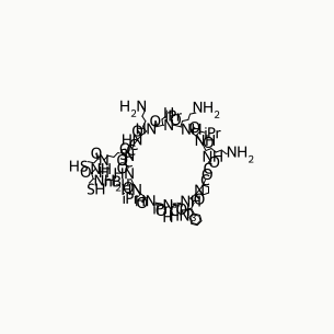 CCCCC1NC(=O)CN(S(=O)(=O)CCCNC(=O)C(CS)NC(=O)C(N)CS)CCNC(=O)C(CCCCN)NC(=O)C(CC(C)C)NC(=O)C(CCCCN)NC(=O)C(CC(C)C)NC(=O)C(CCCCN)NC(=O)COCC2CCCN2C(=O)C(Cc2c[nH]c3ccccc23)NC(=O)[C@H](C)NC(=O)C(C(C)C)NC(=O)C(C(C)C)NC1=O